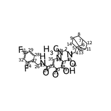 CN1CN(CC23CC4CC(CC(C4)C2)C3)C(=O)c2c(O)c(=O)c(C(=O)NCc3ccc(F)cc3F)cn21